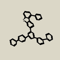 c1ccc(-c2ccc(-c3cc(-c4cccc(-c5ccccc5)c4)cc(-c4ccc5c(c4)sc4cccc(-c6ccccc6)c45)c3)cc2)cc1